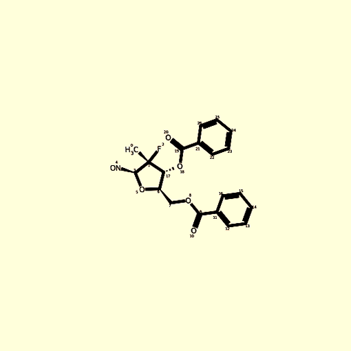 C[C@]1(F)[C@H](N=O)O[C@H](COC(=O)c2ccccc2)[C@H]1OC(=O)c1ccccc1